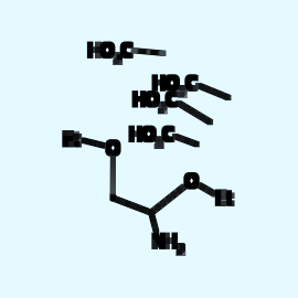 CC(=O)O.CC(=O)O.CC(=O)O.CC(=O)O.CCOCC(N)OCC